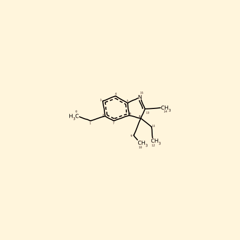 CCc1ccc2c(c1)C(CC)(CC)C(C)=N2